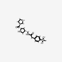 CS(=O)(=O)c1ccc(CC(=O)NC[C@@H]2CN[C@H](C(=O)N3CCSC3)C2)cc1